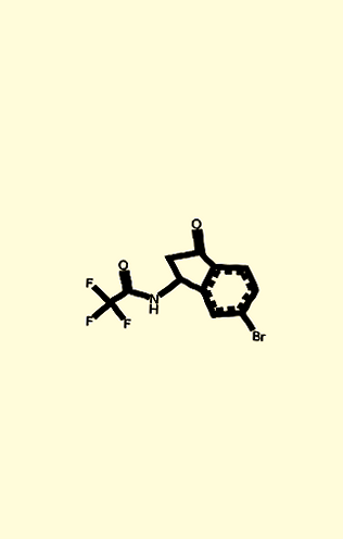 O=C1CC(NC(=O)C(F)(F)F)c2cc(Br)ccc21